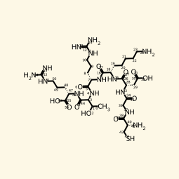 CC(O)[C@H](NC(=O)[C@H](CCCNC(=N)N)NC(=O)[C@H](CCCCCN)NC(=O)[C@H](CC(=O)O)NC(=O)CNC(=O)[C@H](N)CS)C(=O)N[C@@H](CCCNC(=N)N)C(=O)O